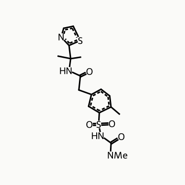 CNC(=O)NS(=O)(=O)c1cc(CC(=O)NC(C)(C)c2nccs2)ccc1C